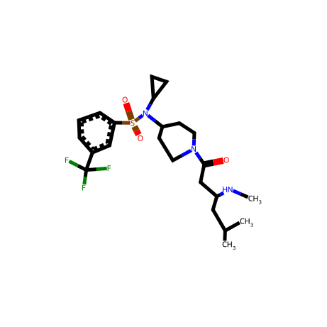 CNC(CC(=O)N1CCC(N(C2CC2)S(=O)(=O)c2cccc(C(F)(F)F)c2)CC1)CC(C)C